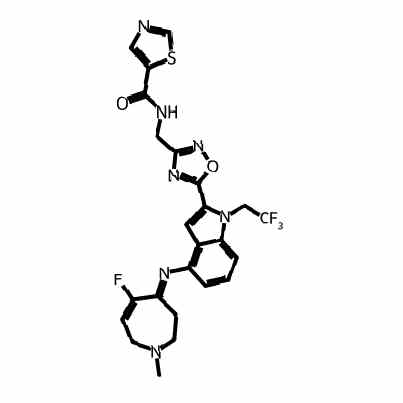 CN1CC=C(F)/C(=N/c2cccc3c2cc(-c2nc(CNC(=O)c4cncs4)no2)n3CC(F)(F)F)CC1